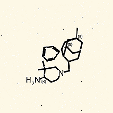 CC1(C)CN(CC2CC3C[C@]4(C)CCC2[C@](c2ccccc2)(C3)C4)CC[C@H]1N